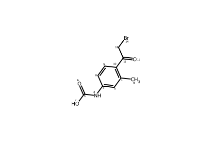 Cc1cc(NC(=O)O)ccc1C(=O)CBr